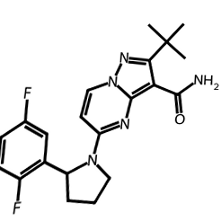 CC(C)(C)c1nn2ccc(N3CCCC3c3cc(F)ccc3F)nc2c1C(N)=O